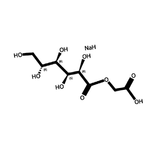 O=C(O)COC(=O)[C@H](O)[C@@H](O)[C@H](O)[C@H](O)CO.[NaH]